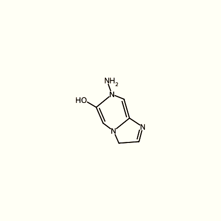 NN1C=C2N=CCN2C=C1O